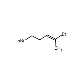 CCCCCC/C=C(\C)CC